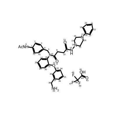 CC(=O)Nc1ccc(CN(C(=O)CCC(=O)NN2CCN(c3ccccc3)CC2)c2ccccc2Oc2cccc(CN)c2)cc1.O=C(O)C(F)(F)F